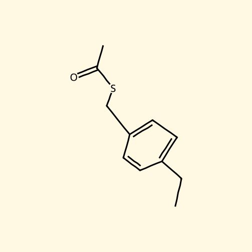 CCc1ccc(CSC(C)=O)cc1